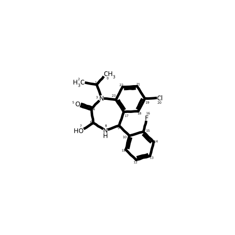 CC(C)N1C(=O)C(O)NC(c2ccccc2F)c2cc(Cl)ccc21